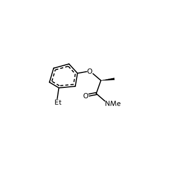 CCc1cccc(O[C@@H](C)C(=O)NC)c1